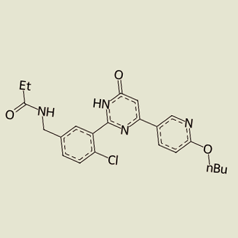 CCCCOc1ccc(-c2cc(=O)[nH]c(-c3cc(CNC(=O)CC)ccc3Cl)n2)cn1